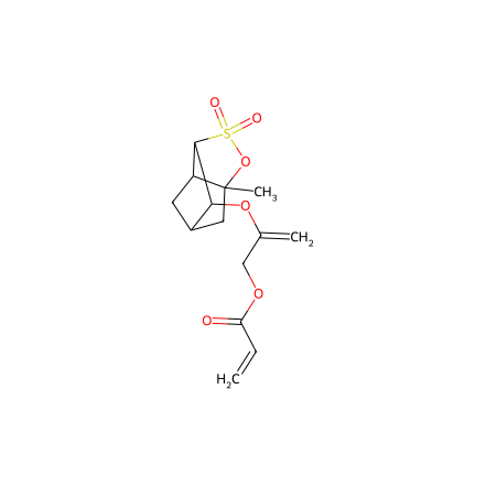 C=CC(=O)OCC(=C)OC1C2CC3C1S(=O)(=O)OC3(C)C2